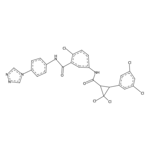 O=C(Nc1ccc(-n2cnnc2)cc1)c1cc(NC(=O)C2C(c3cc(Cl)cc(Cl)c3)C2(Cl)Cl)ccc1Cl